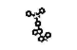 c1ccc(-c2nc(-c3ccccc3)nc(-c3ccc(-c4ccc(-c5cccc6sc7ccccc7c56)c5ccccc45)cc3)n2)cc1